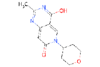 Cc1nc(O)c2cn(C3CCOCC3)c(=O)cc2n1